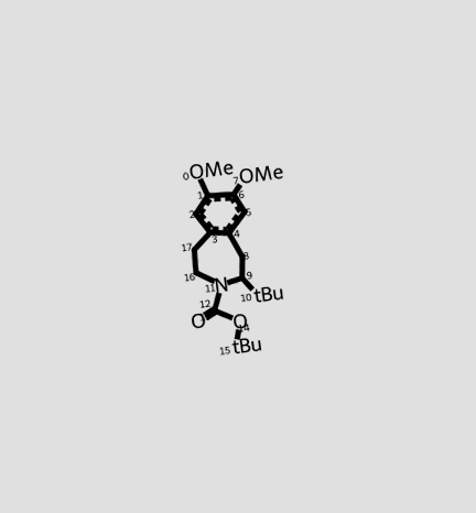 COc1cc2c(cc1OC)CC(C(C)(C)C)N(C(=O)OC(C)(C)C)CC2